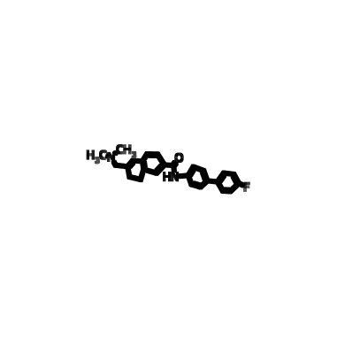 CN(C)CC1=Cc2ccc(C(=O)Nc3ccc(-c4ccc(F)cc4)cc3)cc2CC1